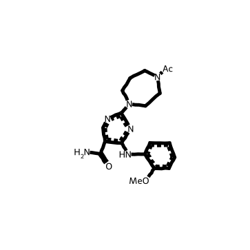 COc1ccccc1Nc1nc(N2CCCN(C(C)=O)CC2)ncc1C(N)=O